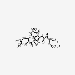 Cc1c(CC(=O)NC(C)CC(=O)O)c2c(F)c(O)ccc2n1C(=O)c1ccc(F)c(F)c1